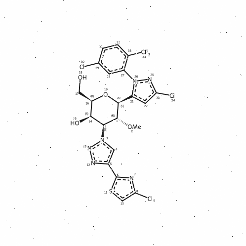 CO[C@@H]1[C@@H](n2cc(-c3nc(Cl)cs3)nn2)[C@@H](O)[C@@H](CO)O[C@H]1c1cc(Cl)nn1-c1cc(Cl)ccc1C(F)(F)F